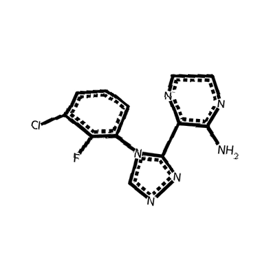 Nc1nccnc1-c1nncn1-c1cccc(Cl)c1F